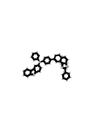 C1=C(c2ccc(N(c3ccccc3)c3ccc4oc5ccccc5c4c3)cc2)CCc2ccc3nc(-c4ccccc4)oc3c21